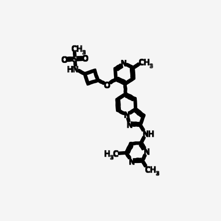 Cc1cc(-c2ccn3nc(Nc4cc(C)nc(C)n4)cc3c2)c(OC2CC(NS(C)(=O)=O)C2)cn1